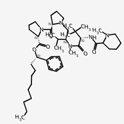 CCCCCCCCC[C@H](OC(=O)[C@@H]1CCCN1C(=O)[C@@H]1CCCN1C[C@H](C(C)C)N(C)C(=O)[C@@H](NC(=O)C1CCCCN1C)C(C)(C)C)c1ccccc1